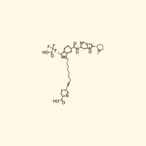 Cc1nn(CCCCCCCC#Cc2ccc(C(=O)O)nc2)c2cc(C(=O)Nc3cc4[nH]c([C@H]5CCCN5C)cc4cn3)ccc12.O=C(O)C(F)(F)F